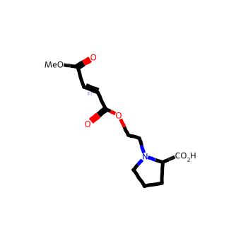 COC(=O)/C=C/C(=O)OCCN1CCCC1C(=O)O